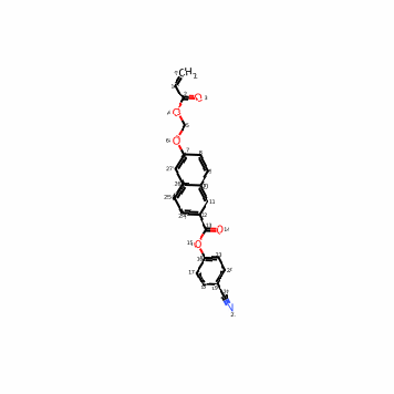 C=CC(=O)OCOc1ccc2cc(C(=O)Oc3ccc(C#N)cc3)ccc2c1